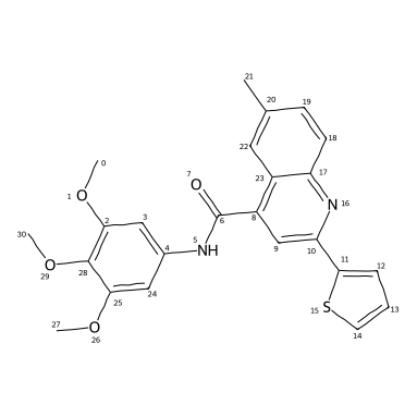 COc1cc(NC(=O)c2cc(-c3cccs3)nc3ccc(C)cc23)cc(OC)c1OC